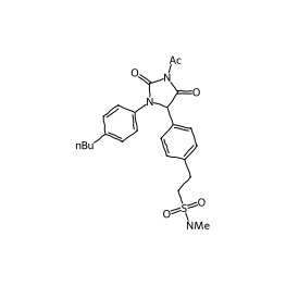 CCCCc1ccc(N2C(=O)N(C(C)=O)C(=O)C2c2ccc(CCS(=O)(=O)NC)cc2)cc1